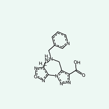 CN(Cc1cccnc1)Cc1c(C(=O)O)nnn1-c1nonc1N